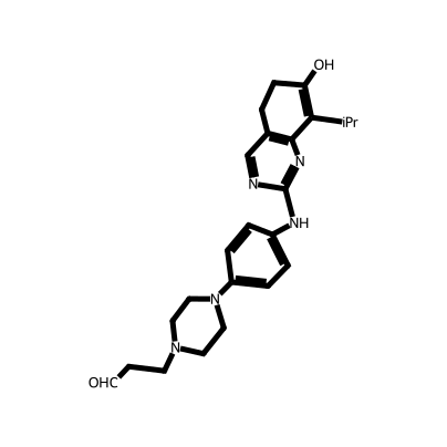 CC(C)C1=C(O)CCc2cnc(Nc3ccc(N4CCN(CCC=O)CC4)cc3)nc21